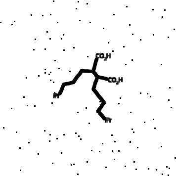 CC(C)CCCC(C(=O)O)C(CCCC(C)C)C(=O)O